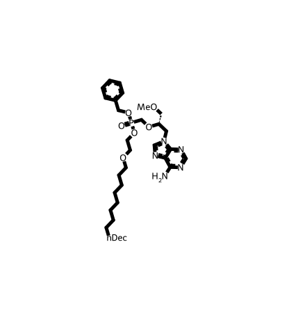 CCCCCCCCCCCCCCCCCCOCCOP(=O)(CO[C@H](COC)Cn1cnc2c(N)ncnc21)OCc1ccccc1